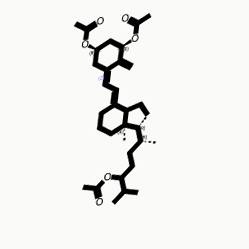 C=C1/C(=C\C=C2CCC[C@@]3(C)C2CC[C@@H]3[C@H](C)CCC(OC(C)=O)C(C)C)C[C@@H](OC(C)=O)C[C@H]1OC(C)=O